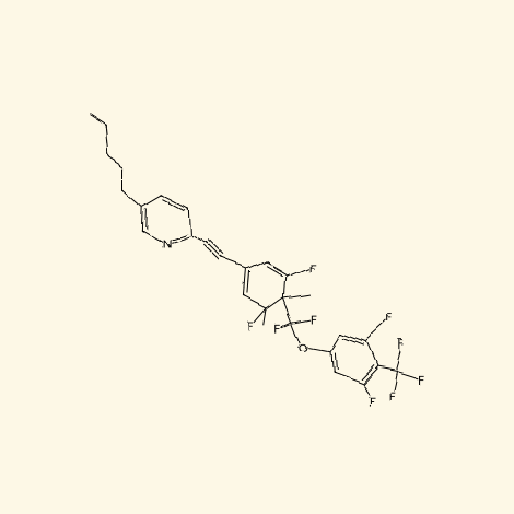 CCCCCc1ccc(C#CC2=CC(C)(F)C(C)(C(F)(F)Oc3cc(F)c(C(F)(F)F)c(F)c3)C(F)=C2)nc1